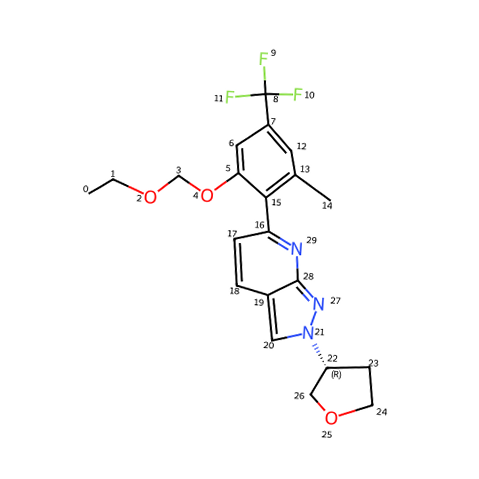 CCOCOc1cc(C(F)(F)F)cc(C)c1-c1ccc2cn([C@@H]3CCOC3)nc2n1